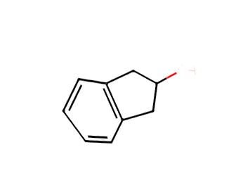 OC1Cc2[c]cccc2C1